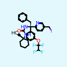 C#CC1(NC(=O)N[C@@](Cc2ccccc2)(c2cccc(OC(F)(F)C(F)F)c2)c2ccc(CI)cn2)CCCCC1